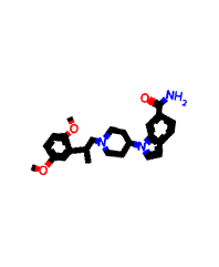 COc1ccc(OC)c(C(C)CN2CCC(n3ccc4ccc(C(N)=O)cc43)CC2)c1